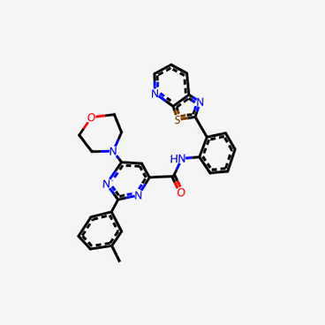 Cc1cccc(-c2nc(C(=O)Nc3ccccc3-c3nc4cccnc4s3)cc(N3CCOCC3)n2)c1